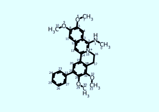 CNc1c2cc(OC)c(OC)cc2cc2[n+]1CCc1c-2cc(-c2ccccc2)c(OC)c1OC